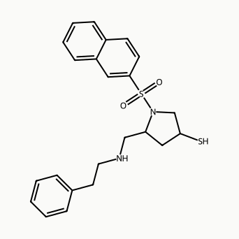 O=S(=O)(c1ccc2ccccc2c1)N1CC(S)CC1CNCCc1ccccc1